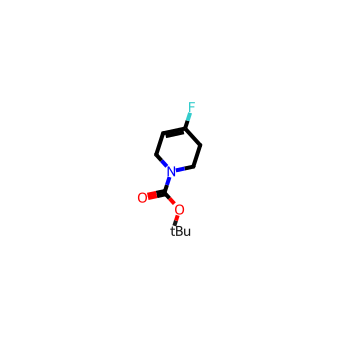 CC(C)(C)OC(=O)N1CC=C(F)CC1